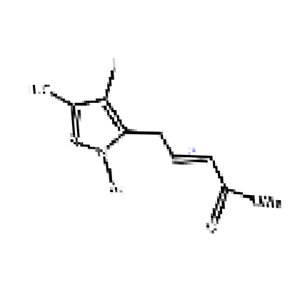 COC(=O)/C=C/Cc1c(I)c(C)nn1C(C)=O